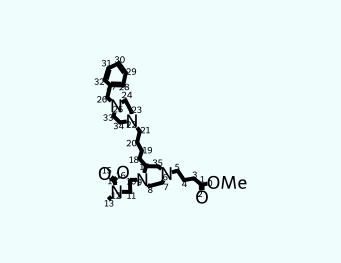 COC(=O)CCCN1CCN(C2CN(C)C(=O)O2)C(CCCCN2CCN(Cc3ccccc3)CC2)C1